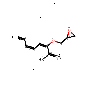 C=C/C=C\C=C(\OCC1CO1)C(=C)C